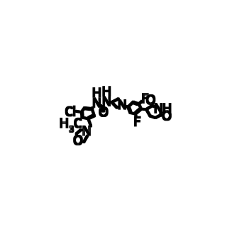 Cc1c(Cl)cc(NC(=O)NC2CN(c3cc(F)c(C4CCC(=O)NC4=O)c(F)c3)C2)cc1CN1CCOCC1